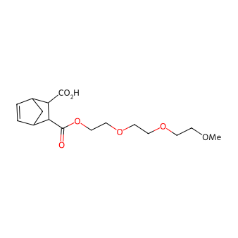 COCCOCCOCCOC(=O)C1C2C=CC(C2)C1C(=O)O